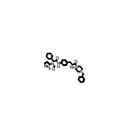 Cn1nccc1N(C=O)[C@H](C(=O)Nc1ccc(C[C@@H](N)C(=O)N2CCN(Cc3ccccc3)CC2)cc1)C1CCCCC1